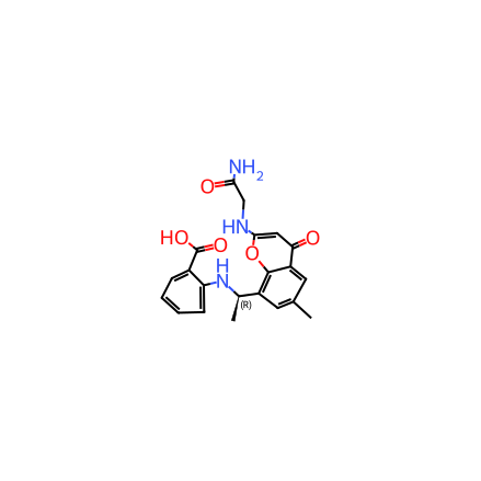 Cc1cc([C@@H](C)Nc2ccccc2C(=O)O)c2oc(NCC(N)=O)cc(=O)c2c1